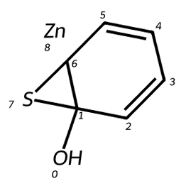 OC12C=CC=CC1S2.[Zn]